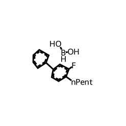 CCCCCc1ccc(-c2ccccc2)cc1F.OBO